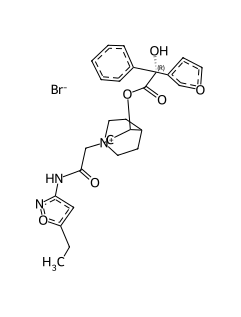 CCc1cc(NC(=O)C[N+]23CCC(CC2)C(OC(=O)[C@@](O)(c2ccccc2)c2ccoc2)C3)no1.[Br-]